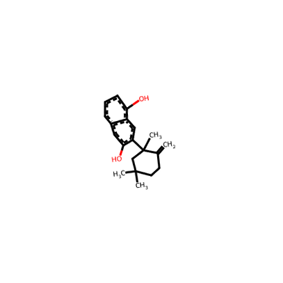 C=C1CCC(C)(C)CC1(C)c1cc2c(O)cccc2cc1O